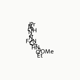 CCOC(CNCc1ccc(F)c(N2CC(N3CC4C[C@H]3CN4C(C)C)C2)n1)OC